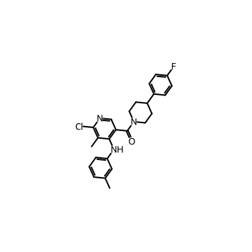 Cc1cccc(Nc2c(C(=O)N3CCC(c4ccc(F)cc4)CC3)cnc(Cl)c2C)c1